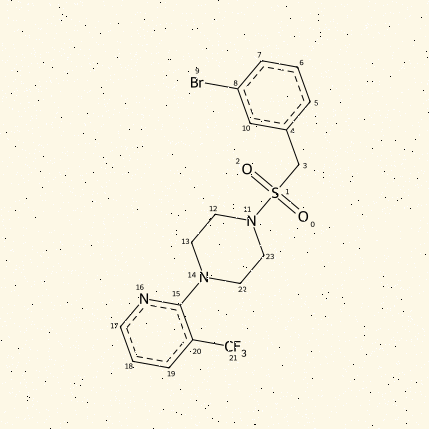 O=S(=O)(Cc1cccc(Br)c1)N1CCN(c2ncccc2C(F)(F)F)CC1